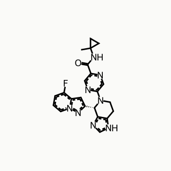 CC1(NC(=O)c2cnc(N3CCc4[nH]cnc4[C@@H]3c3cc4c(F)cccn4n3)cn2)CC1